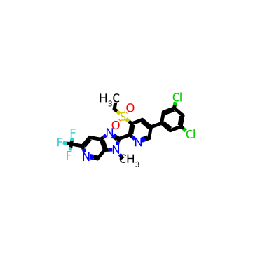 CCS(=O)(=O)c1cc(-c2cc(Cl)cc(Cl)c2)cnc1-c1nc2cc(C(F)(F)F)ncc2n1C